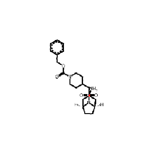 NC1C[C@H]2CC[C@@H](C1)N2S(=O)(=O)CC1CCN(C(=O)OCc2ccccc2)CC1